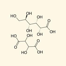 O=C(O)C(O)C(O)C(=O)O.O=C(O)[C@H](O)[C@@H](O)[C@H](O)[C@H](O)CO